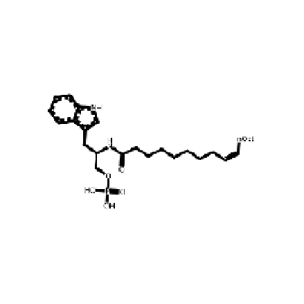 CCCCCCCC/C=C\CCCCCCCC(=O)N[C@@H](COP(=O)(O)O)Cc1c[nH]c2ccccc12